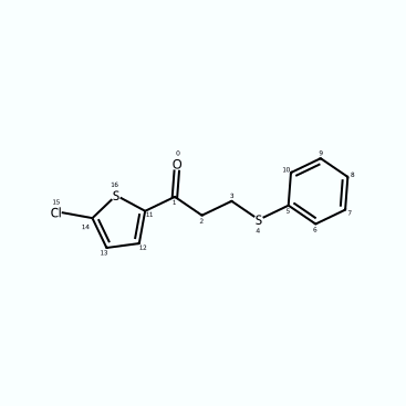 O=C(CCSc1ccccc1)c1ccc(Cl)s1